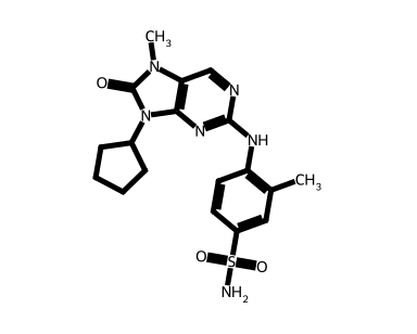 Cc1cc(S(N)(=O)=O)ccc1Nc1ncc2c(n1)n(C1CCCC1)c(=O)n2C